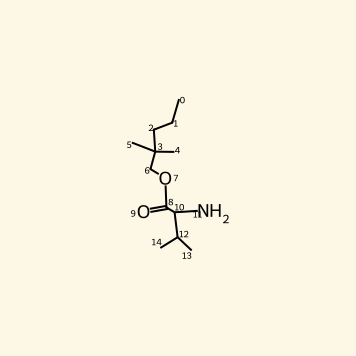 CCCC(C)(C)COC(=O)C(N)C(C)C